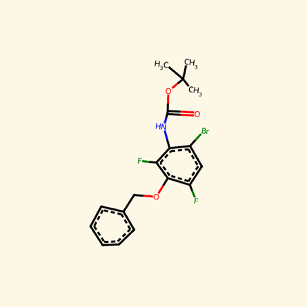 CC(C)(C)OC(=O)Nc1c(Br)cc(F)c(OCc2ccccc2)c1F